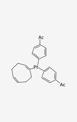 CC(=O)c1cc[c]([Pt](/[C]2=C/CC/C=C\CC2)[c]2ccc(C(C)=O)cc2)cc1